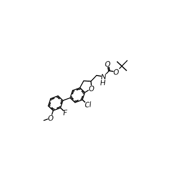 COc1cccc(-c2cc(Cl)c3c(c2)CC(CNC(=O)OC(C)(C)C)O3)c1F